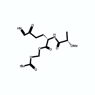 CO[C@@H](C)C(=O)N[C@@H](CCC(=O)C=N)C(=O)OCOC(=O)C(C)(C)C